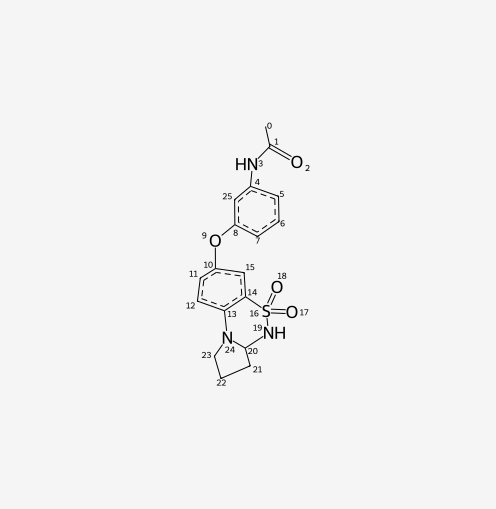 CC(=O)Nc1cccc(Oc2ccc3c(c2)S(=O)(=O)NC2CCCN32)c1